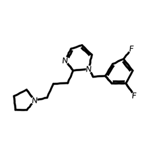 Fc1cc(F)cc(CN2C=CC=NC2CCCN2CCCC2)c1